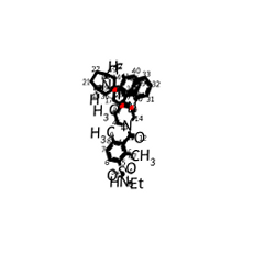 CCNS(=O)(=O)c1ccc(C)c(C(=O)N2CCC(CCN3[C@@H]4CC[C@H]3C[C@@H](n3c(C)nc5ccccc53)C4)(c3cccc(F)c3)CC2)c1C